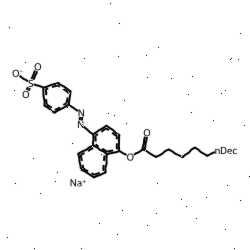 CCCCCCCCCCCCCCCC(=O)Oc1ccc(/N=N/c2ccc(S(=O)(=O)[O-])cc2)c2ccccc12.[Na+]